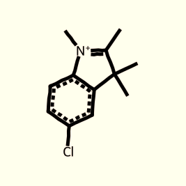 CC1=[N+](C)c2ccc(Cl)cc2C1(C)C